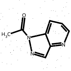 CC(=O)n1ncc2ncccc21